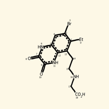 CCc1c(Br)cc2[nH]c(=O)c(=O)[nH]c2c1CCNCC(=O)O